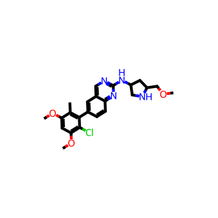 COCC1CC(Nc2ncc3cc(-c4c(C)c(OC)cc(OC)c4Cl)ccc3n2)CN1